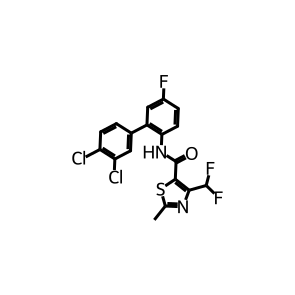 Cc1nc(C(F)F)c(C(=O)Nc2ccc(F)cc2-c2ccc(Cl)c(Cl)c2)s1